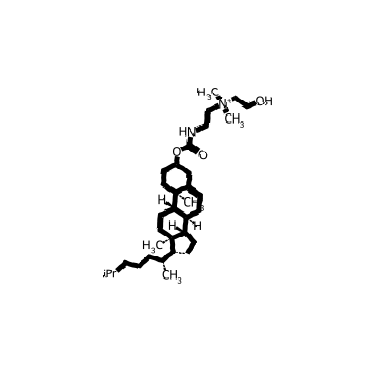 CC(C)CCC[C@@H](C)[C@H]1CC[C@H]2[C@@H]3CC=C4CC(OC(=O)NCC[N+](C)(C)CCO)CC[C@]4(C)[C@H]3CC[C@]12C